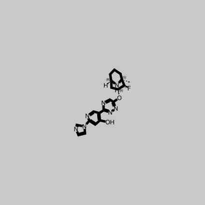 C[C@]12CCC[C@H](C[C@@H](Oc3cnc(-c4cnc(-n5ccnc5)cc4O)nn3)[C@@H]1F)N2